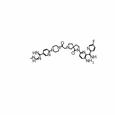 CN/C=N\C(=N)c1ccc(N2CCN(C(=O)CN3CC[C@]4(CCN(c5ccc(N)c(C(=N)c6ccc(F)cn6)n5)C4=O)C3)CC2)nc1